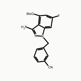 COc1cc(F)cc2c1c(N)nn2Cc1cccc(C#N)c1